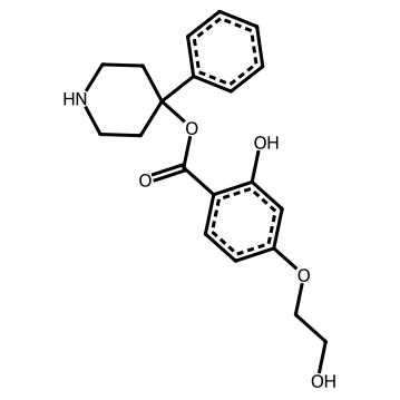 O=C(OC1(c2ccccc2)CCNCC1)c1ccc(OCCO)cc1O